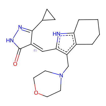 O=C1NN=C(C2CC2)/C1=C\c1[nH]c2c(c1CN1CCOCC1)CCCC2